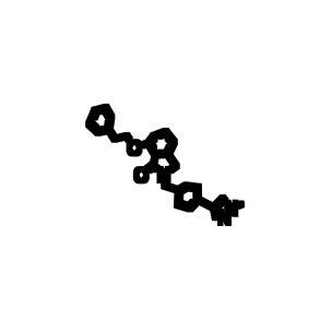 Cn1cc(-c2ccc(CN3Cc4cccc(OCCc5ccccc5)c4C3=O)cc2)cn1